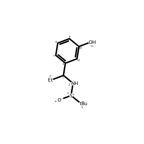 CCC(N[S+]([O-])C(C)(C)C)c1cccc(O)c1